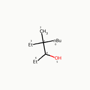 CCCCC(C)(CC)C(O)CC